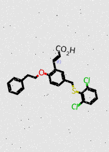 O=C(O)/C=C/c1cc(CSc2c(Cl)cccc2Cl)ccc1OCCc1ccccc1